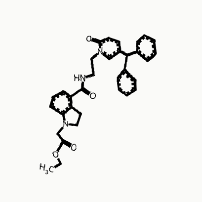 CCOC(=O)CN1CCc2c(C(=O)NCCn3cc(C(c4ccccc4)c4ccccc4)ccc3=O)cccc21